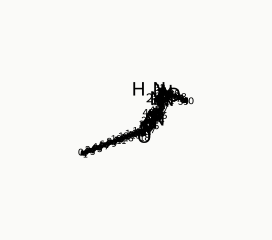 CCCCCCCCCCCCCCCCCC(=O)N1CCN(c2ncc(Cc3cnc4c(N)nc(OCCCC)nn34)cc2C)CC1